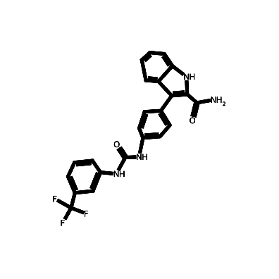 NC(=O)c1[nH]c2ccccc2c1-c1ccc(NC(=O)Nc2cccc(C(F)(F)F)c2)cc1